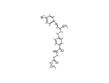 COC(=O)CCNC(=O)c1ccc(CCC(C)C=Cc2ccc(Br)cc2)cc1